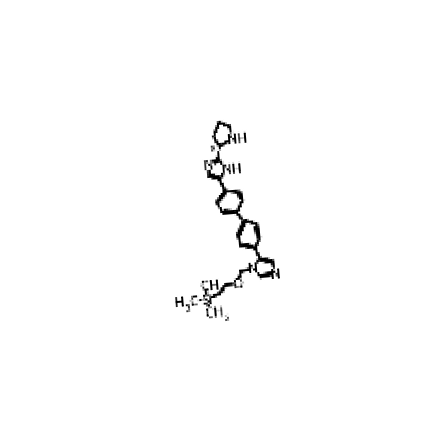 C[Si](C)(C)CCOCn1cncc1-c1ccc(-c2ccc(-c3cnc([C@H]4CCCN4)[nH]3)cc2)cc1